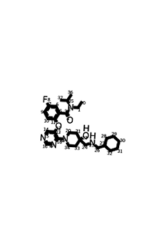 CCN(C(=O)c1cc(F)ccc1Oc1cncnc1N1CCC(O)(CNCC2CCCCC2)CC1)C(C)C